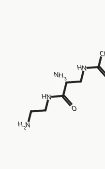 CC(=O)NCCC(=O)NCCN.N